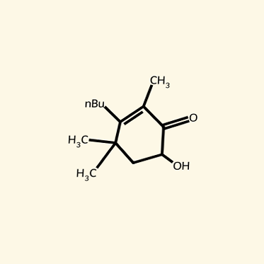 CCCCC1=C(C)C(=O)C(O)CC1(C)C